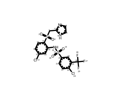 O=S(=O)(Cc1ncc[nH]1)c1ccc(Cl)cc1NS(=O)(=O)c1ccc(Cl)c(C(F)(F)F)c1